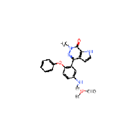 CCNc1ccc(Oc2ccccc2)c(-c2nn(C)c(=O)c3[nH]ccc23)c1.CCOC=O